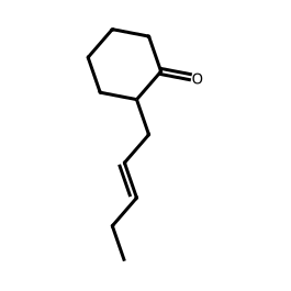 CCC=CCC1CCCCC1=O